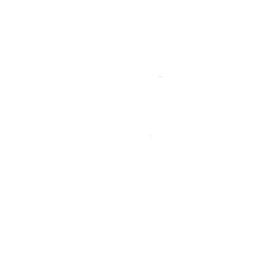 BrCC=Cc1ccccc1.C=C(C)C.C=CC(=C)C